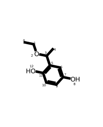 CCOC(C)c1cc(O)ccc1O